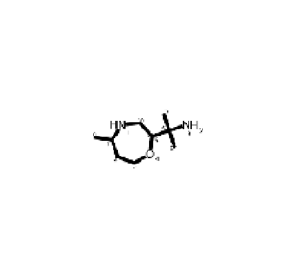 CC1CCO[C](C(C)(C)N)CN1